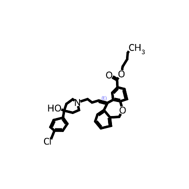 CCCCOC(=O)c1ccc2c(c1)/C(=C/CCN1CCC(O)(c3ccc(Cl)cc3)CC1)c1ccccc1CO2